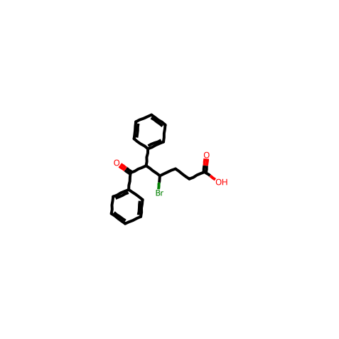 O=C(O)CCC(Br)C(C(=O)c1ccccc1)c1ccccc1